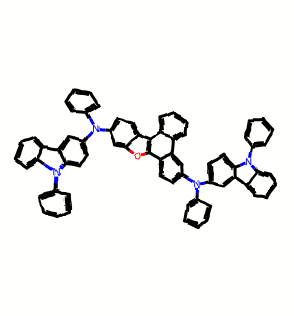 c1ccc(N(c2ccc3c(c2)oc2c4ccc(N(c5ccccc5)c5ccc6c(c5)c5ccccc5n6-c5ccccc5)cc4c4ccccc4c32)c2ccc3c(c2)c2ccccc2n3-c2ccccc2)cc1